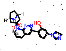 CC(C)(C)OC(=O)N1[C@@H]2CC[C@H]1CC(N1CC=Cc3cc(-c4ccc(-n5ccnc5)cc4O)nnc31)C2